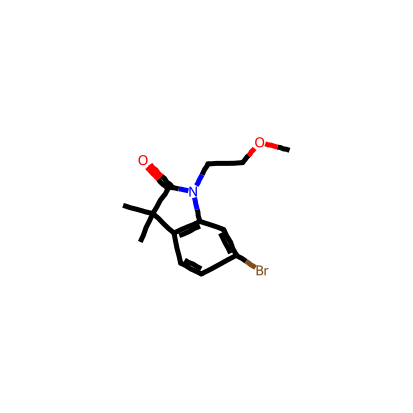 COCCN1C(=O)C(C)(C)c2ccc(Br)cc21